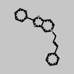 C(=Cc1ccccc1)Cn1ccc2nc(-c3ccccc3)nc-2c1